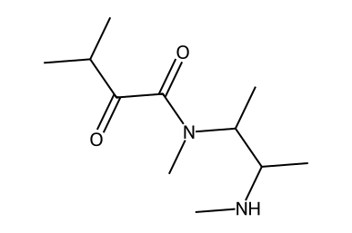 CNC(C)C(C)N(C)C(=O)C(=O)C(C)C